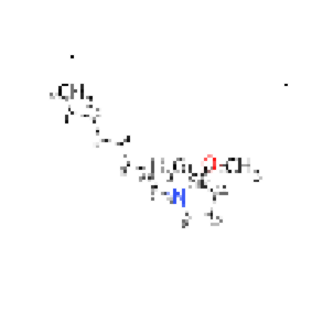 CCCCCCC=CN1CCC[Si]1(C)OC